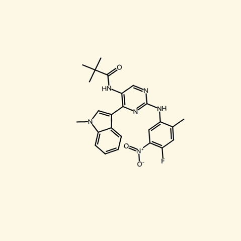 Cc1cc(F)c([N+](=O)[O-])cc1Nc1ncc(NC(=O)C(C)(C)C)c(-c2cn(C)c3ccccc23)n1